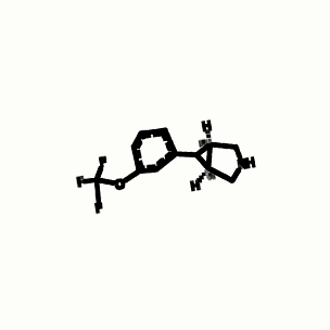 FC(F)(F)Oc1cccc(C2[C@H]3CNC[C@@H]23)c1